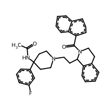 CC(=O)NC1(c2cccc(F)c2)CCN(CCC2c3ccccc3CCN2C(=O)c2cccc3ccccc23)CC1